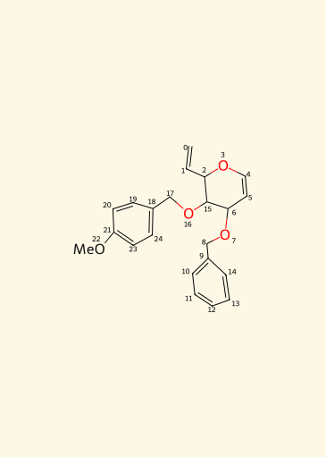 C=CC1OC=CC(OCc2ccccc2)C1OCc1ccc(OC)cc1